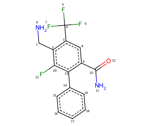 NCc1c(C(F)(F)F)cc(C(N)=O)c(-c2ccccc2)c1F